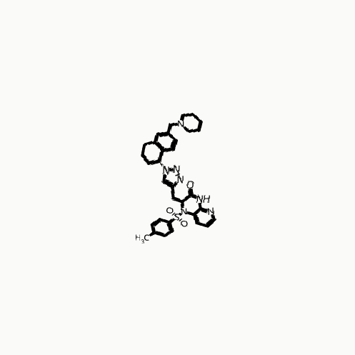 Cc1ccc(S(=O)(=O)N2c3cccnc3NC(=O)C2Cc2cn([C@@H]3CCCc4cc(CN5CCCCC5)ccc43)nn2)cc1